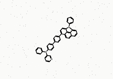 c1ccc(N(c2ccc(-c3ccc(-c4ccc5c6c4ccc4cccc(c46)n5-c4ccccc4)cc3)cc2)c2cccnc2)cc1